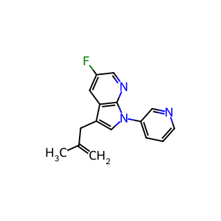 C=C(C)Cc1cn(-c2cccnc2)c2ncc(F)cc12